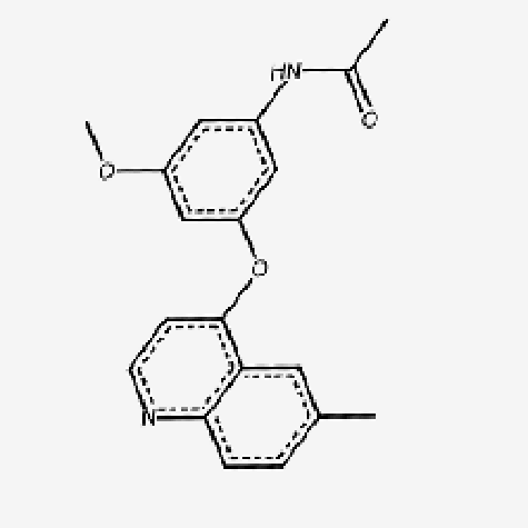 COc1cc(NC(C)=O)cc(Oc2ccnc3ccc(C)cc23)c1